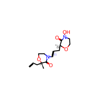 C=CC[C@]1(C)OCCN(/C=C/C[C@]2(C)OCCN(O)C2=O)C1=O